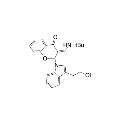 CC(C)(C)N/C=C1\C(=O)c2ccccc2OC1n1cc(CCO)c2ccccc21